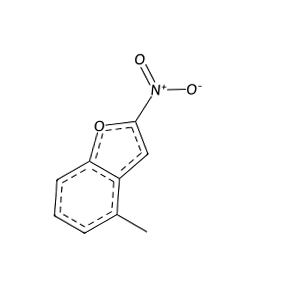 Cc1cccc2oc([N+](=O)[O-])cc12